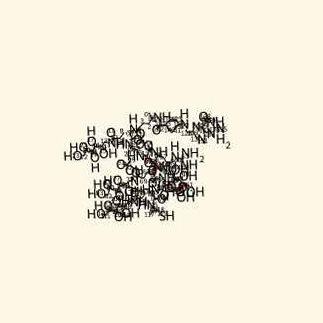 C[C@H](CCC(=O)N[C@@H](CCC(=O)NC[C@H](O)[C@@H](O)[C@H](O)[C@H](O)CO)C(=O)N[C@@H](CCC(=O)O)C(=O)N[C@@H](CCC(=O)NC[C@H](O)[C@@H](O)[C@H](O)[C@H](O)CO)C(=O)N[C@@H](CCCNC(=N)N)C(=O)N[C@@H](CCC(=O)NC[C@H](O)[C@@H](O)[C@H](O)[C@H](O)CO)C(=O)N[C@@H](CCC(=O)O)C(=O)N[C@@H](CCC(=O)NC[C@H](O)[C@@H](O)[C@H](O)[C@H](O)CO)C(=O)N[C@H](C)CS)NC(=O)c1ccc(NCc2cnc3nc(N)[nH]c(=O)c3n2)cc1